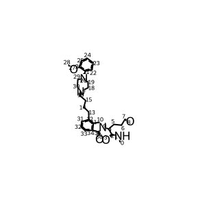 CNC(=O)C(CCC=O)N1Cc2c(CCCCN3CCN(c4ccccc4OC)CC3)cccc2C1=O